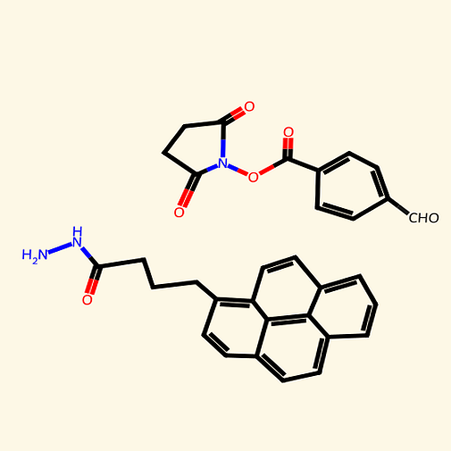 NNC(=O)CCCc1ccc2ccc3cccc4ccc1c2c34.O=Cc1ccc(C(=O)ON2C(=O)CCC2=O)cc1